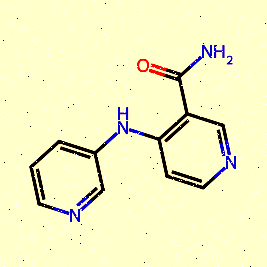 NC(=O)c1cnccc1Nc1cccnc1